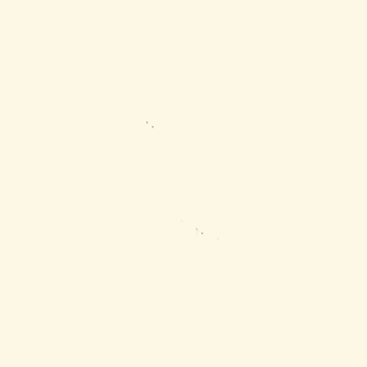 COc1ccc(S(=O)(=O)N2CCCCC2COCC(N)=O)cc1